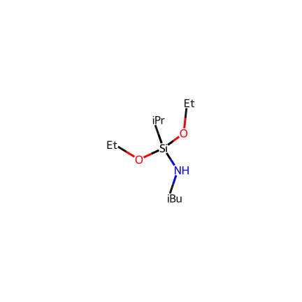 CCO[Si](NC(C)CC)(OCC)C(C)C